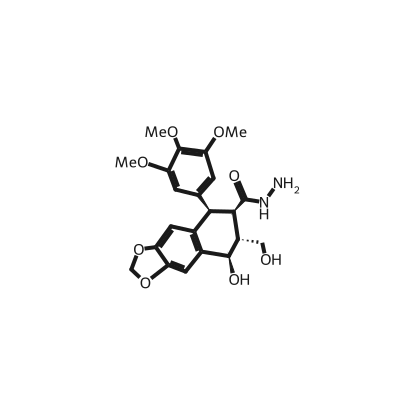 COc1cc([C@@H]2c3cc4c(cc3[C@H](O)[C@@H](CO)[C@@H]2C(=O)NN)OCO4)cc(OC)c1OC